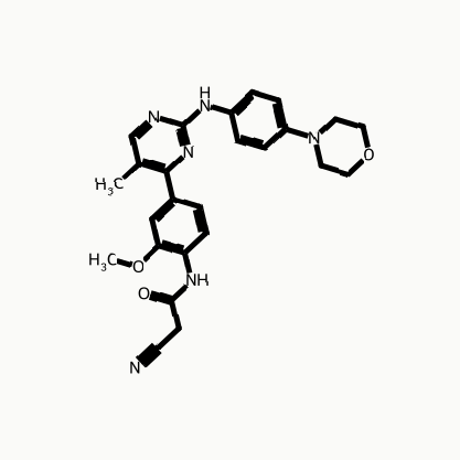 COc1cc(-c2nc(Nc3ccc(N4CCOCC4)cc3)ncc2C)ccc1NC(=O)CC#N